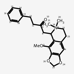 COc1c2c(cc3c1C(CC(=O)CCc1ccccc1)[N+](C)(C)CC3)OCO2